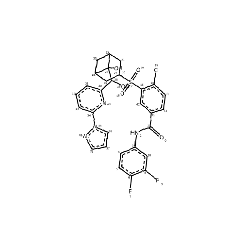 O=C(Nc1ccc(F)c(F)c1)c1ccc(Cl)c(S(=O)(=O)C2CC3CC(C2)C3(O)C(O)c2cccc(-n3cccn3)n2)c1